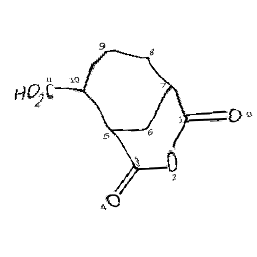 O=C1OC(=O)C2CC1CCC2C(=O)O